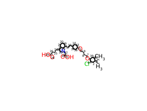 Cc1cc(Cl)c(OCCCCOc2ccc(C=Cc3cccc4c(CCCC(=O)O)cn(CC(=O)O)c34)cc2)cc1C